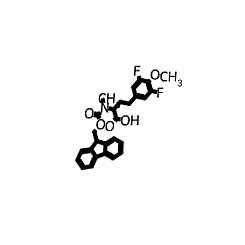 COc1c(F)cc(CCC(C(=O)O)N(C)C(=O)OCC2c3ccccc3-c3ccccc32)cc1F